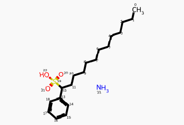 CCCCCCCCCCCCC(c1ccccc1)S(=O)(=O)O.N